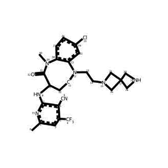 Cc1cc(C(F)(F)F)c(C#N)c(NC2CCN(CCN3CC4(CNC4)C3)c3cc(Cl)ccc3N(C)C2=O)n1